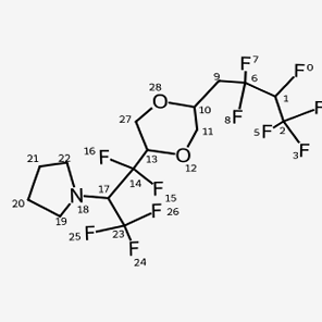 FC(C(F)(F)F)C(F)(F)CC1COC(C(F)(F)C(N2CCCC2)C(F)(F)F)CO1